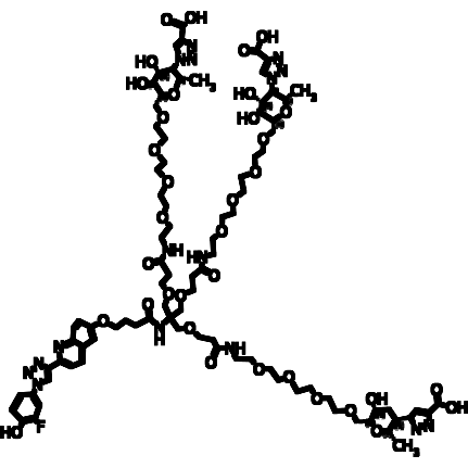 C[C@@H]1O[C@H](COCCOCCOCCOCCNC(=O)CCOCC(COCCC(=O)NCCOCCOCCOCCOC[C@H]2O[C@@H](C)[C@H](n3cc(C(=O)O)nn3)[C@@H](O)[C@H]2O)(COCCC(=O)NCCOCCOCCOCCOC[C@H]2O[C@@H](C)[C@H](C3C=C(C(=O)O)N=N3)C[C@H]2O)NC(=O)CCCOc2ccc3nc(-c4cn(-c5ccc(O)c(F)c5)nn4)ccc3c2)[C@H](O)[C@H](O)C1n1cc(C(=O)O)nn1